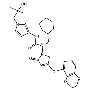 CC(C)(O)Cn1ccc(NC(=O)[C@H](CC2CCCCC2)N2CC(Oc3cccc4c3OCCO4)=CC2=O)n1